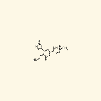 CN/C=C\C(=N)C1=CN/C(=C\C=N)C(c2cn[nH]c2)=N1